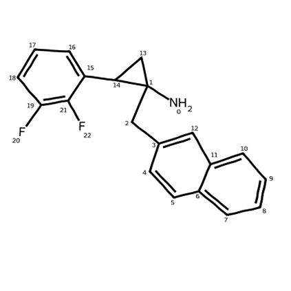 NC1(Cc2ccc3ccccc3c2)CC1c1cccc(F)c1F